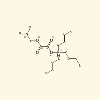 CCCC[PH](CCCC)(CCCC)OC(=O)C(=O)OCN(C)C